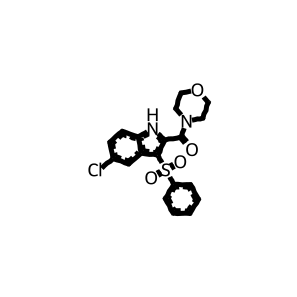 O=C(c1[nH]c2ccc(Cl)cc2c1S(=O)(=O)c1ccccc1)N1CCOCC1